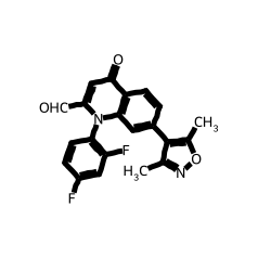 Cc1noc(C)c1-c1ccc2c(=O)cc(C=O)n(-c3ccc(F)cc3F)c2c1